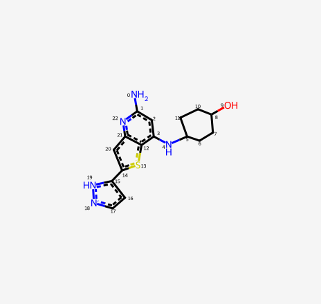 Nc1cc(NC2CCC(O)CC2)c2sc(-c3ccn[nH]3)cc2n1